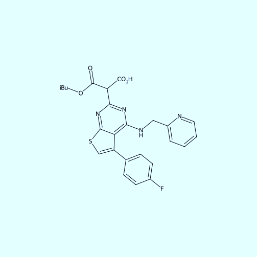 CCC(C)OC(=O)C(C(=O)O)c1nc(NCc2ccccn2)c2c(-c3ccc(F)cc3)csc2n1